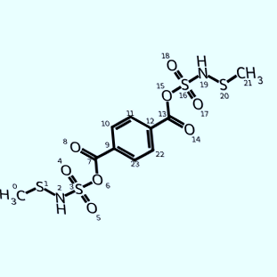 CSNS(=O)(=O)OC(=O)c1ccc(C(=O)OS(=O)(=O)NSC)cc1